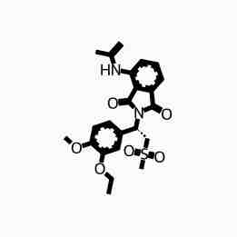 C=C(C)Nc1cccc2c1C(=O)N([C@H](CS(C)(=O)=O)c1ccc(OC)c(OCC)c1)C2=O